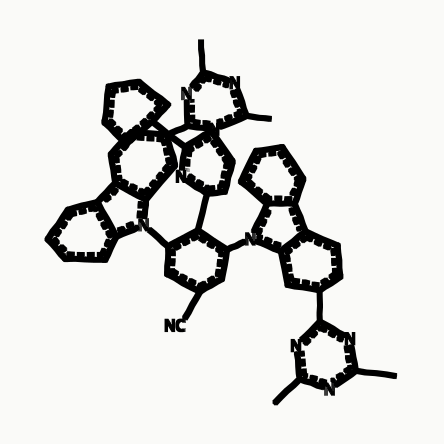 Cc1nc(C)nc(-c2ccc3c4ccccc4n(-c4cc(C#N)cc(-n5c6ccccc6c6ccc(-c7nc(C)nc(C)n7)cc65)c4-c4cccc(-c5ccccc5)n4)c3c2)n1